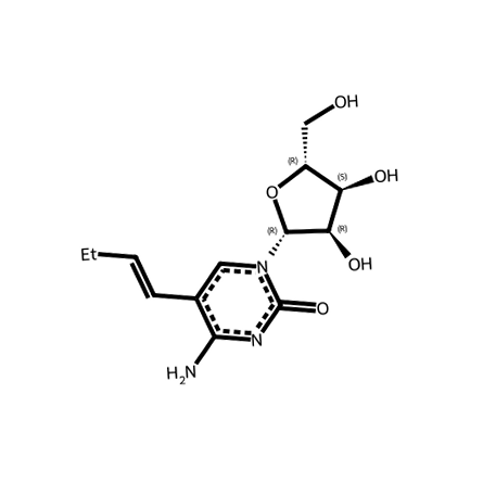 CCC=Cc1cn([C@@H]2O[C@H](CO)[C@@H](O)[C@H]2O)c(=O)nc1N